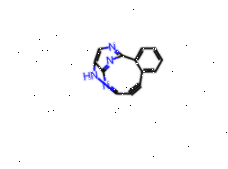 C1#Cc2ccccc2-c2ncc3[nH]c1nc3n2